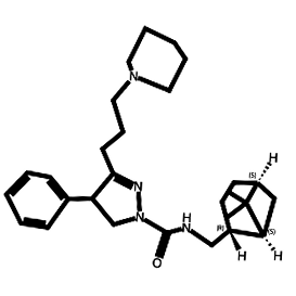 CC1(C)[C@H]2CC[C@@H](CNC(=O)N3CC(c4ccccc4)C(CCCN4CCCCC4)=N3)[C@@H]1C2